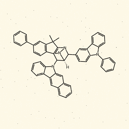 CN1[C@H]2C(c3ccc4c(c3)c3ccccc3n4-c3ccccc3)N1C1=C(c3ccc(-c4ccccc4)cc3C1(C)C)C2n1c2ccccc2c2cc3ccccc3cc21